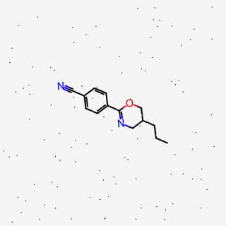 CCCC1CN=C(c2ccc(C#N)cc2)OC1